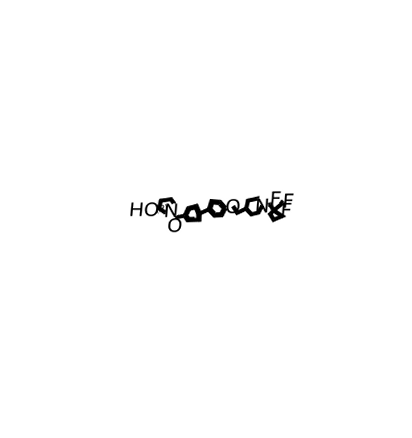 O=C(c1ccc(-c2ccc(OCC3CCN(CC4(C(F)(F)F)CCC4)CC3)cc2)cc1)N1CCC[C@@H](O)C1